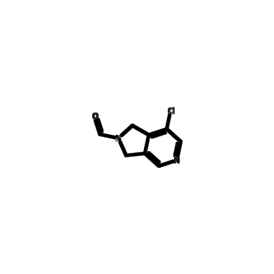 O=CN1Cc2cncc(Cl)c2C1